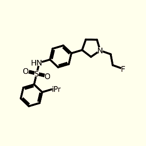 CC(C)c1ccccc1S(=O)(=O)Nc1ccc(C2CCN(CCF)C2)cc1